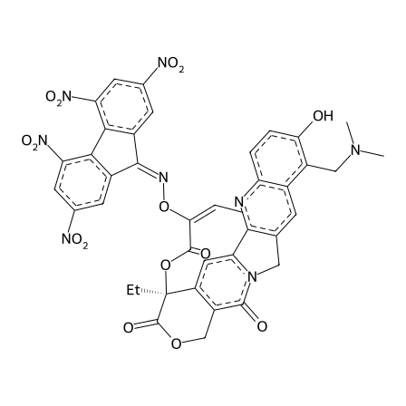 C/C=C(/ON=C1c2cc([N+](=O)[O-])cc([N+](=O)[O-])c2-c2c1cc([N+](=O)[O-])cc2[N+](=O)[O-])C(=O)O[C@]1(CC)C(=O)OCc2c1cc1n(c2=O)Cc2cc3c(CN(C)C)c(O)ccc3nc2-1